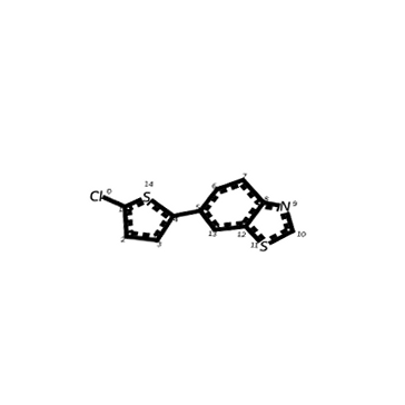 Clc1ccc(-c2ccc3ncsc3c2)s1